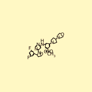 CS(=O)(=O)c1cc(Nc2cc(N3OCCC3c3cc(F)cc(F)c3)ncn2)cc(N2CCC(N3CCOCC3)CC2)c1